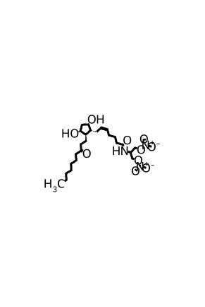 CCCCCCCC(=O)CC[C@@H]1[C@@H](C/C=C\CCCC(=O)NC(CO[N+](=O)[O-])CO[N+](=O)[O-])[C@@H](O)C[C@H]1O